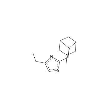 CCc1csc(CN2C3CC2CN(C)C3)n1